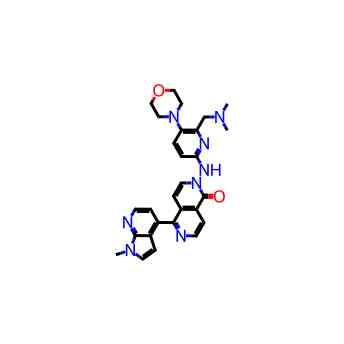 CN(C)Cc1nc(Nn2ccc3c(-c4ccnc5c4ccn5C)nccc3c2=O)ccc1N1CCOCC1